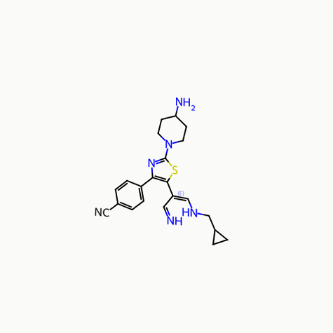 N#Cc1ccc(-c2nc(N3CCC(N)CC3)sc2/C(C=N)=C/NCC2CC2)cc1